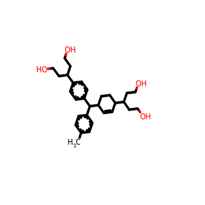 Cc1ccc(C(c2ccc(C(CCO)CCO)cc2)C2C=CC(C(CCO)CCO)CC2)cc1